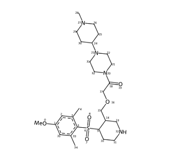 COc1cc(C)c(S(=O)(=O)C2CCNCC2COCC(=O)N2CCN(C3CCN(C)CC3)CC2)c(C)c1